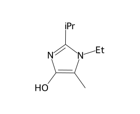 CCn1c(C(C)C)nc(O)c1C